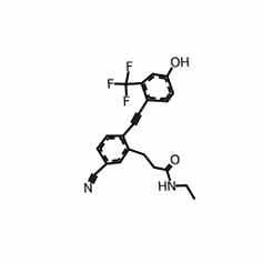 CCNC(=O)CCc1cc(C#N)ccc1C#Cc1ccc(O)cc1C(F)(F)F